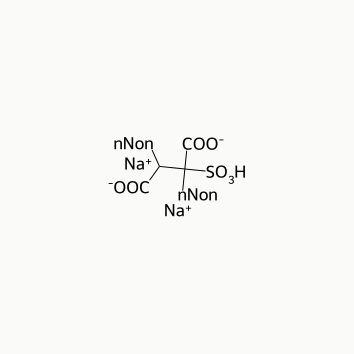 CCCCCCCCCC(C(=O)[O-])C(CCCCCCCCC)(C(=O)[O-])S(=O)(=O)O.[Na+].[Na+]